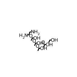 CC(=O)O.CC(=O)O.CC(=O)O.CC(=O)O.CCO.NCCN